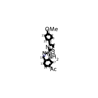 COc1ccc(-c2csc(N/N=C\c3ccc(C(C)=O)cc3N)n2)cc1